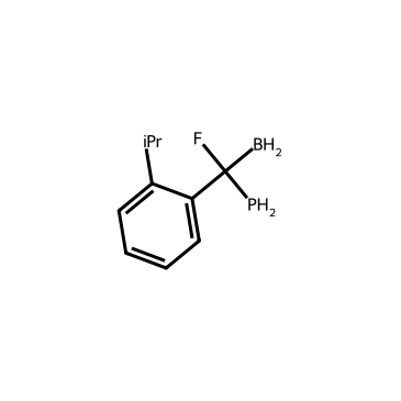 BC(F)(P)c1ccccc1C(C)C